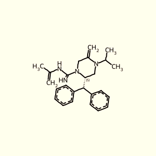 C=C(C)NC(=N)N1CC(=C)N(C(C)C)C[C@@H]1C(c1ccccc1)c1ccccc1